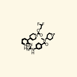 CN1CCC(N(C)C(=O)c2ccc(NC(=N)/N=c3\[nH]cccc3C3=CCN(C(=O)OCC(F)F)CC3)cc2)CC1